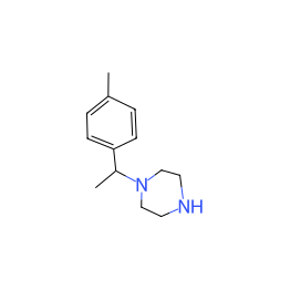 Cc1ccc(C(C)N2CCNCC2)cc1